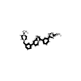 CN1CCN(Cc2cccc(-c3ccn4c(-c5cccc(-c6nnc(N)s6)c5)cnc4c3)c2)CC1